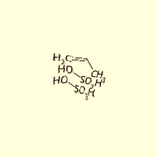 C=CC.O=S(=O)(O)O.O=S(=O)(O)O